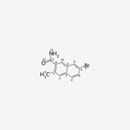 Cc1cc2ccc(Br)cc2cc1C(N)=O